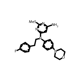 CSc1nc(N)cc(N(CCc2ccc(F)cc2)c2ccc(N3CCOCC3)cc2)n1